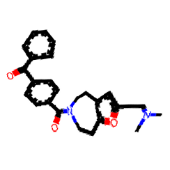 CN(C)Cc1cc2c(o1)CCN(C(=O)c1ccc(C(=O)c3ccccc3)cc1)CC2